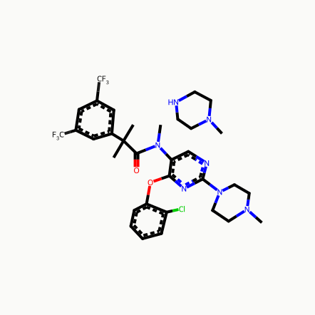 CN1CCN(c2ncc(N(C)C(=O)C(C)(C)c3cc(C(F)(F)F)cc(C(F)(F)F)c3)c(Oc3ccccc3Cl)n2)CC1.CN1CCNCC1